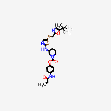 C=CC(=O)Nc1ccc(OC(=O)N2CCCC(Nc3ncc(SCc4ncc(C(C)(C)C)o4)s3)C2)cc1